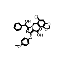 COc1ccc(Sc2nc(C(O)c3ccccc3)n(Cc3cc4c(cc3Cl)OCO4)c2C(=O)O)cc1